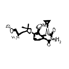 CCOCC(N)C1CN(c2ccc3c(=O)n(N)c(=O)n(C4CC4)c3c2OC)CC1(C)C